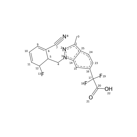 Cc1nn(CC2C(C#N)=CC=CC2F)c2cc(C(F)(F)C(=O)O)ccc12